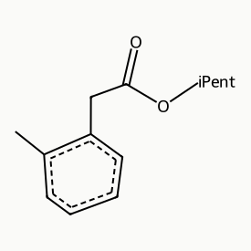 CCCC(C)OC(=O)Cc1ccccc1C